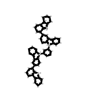 c1cc(-n2c3ccccc3c3cc(-c4cccc5c4sc4ccccc45)ccc32)cc(-n2c3ccccc3c3cc(-c4cccc5c4sc4ccccc45)ccc32)c1